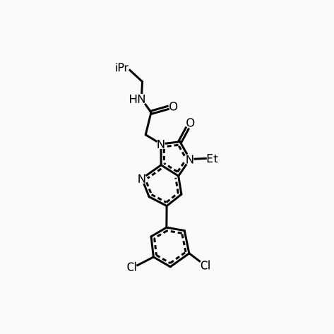 CCn1c(=O)n(CC(=O)NCC(C)C)c2ncc(-c3cc(Cl)cc(Cl)c3)cc21